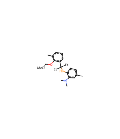 CCC(CC)(Pc1ccc(C)cc1N(C)C)c1cccc(C)c1OCOC